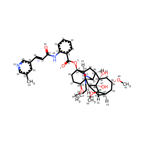 CCN1C[C@]2(OC(=O)c3ccccc3NC(=O)/C=C/c3cncc(C)c3)CC[C@H](OC)[C@]34C1[C@@H](C[C@H]23)[C@@]1(O)C[C@H](OC)C[C@H]2C[C@@H]4[C@]1(O)[C@H]2OC